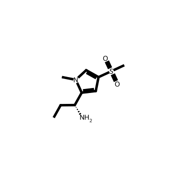 CC[C@@H](N)c1cc(S(C)(=O)=O)cn1C